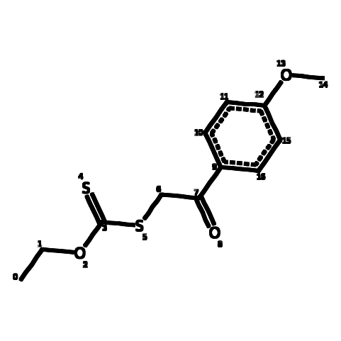 CCOC(=S)SCC(=O)c1ccc(OC)cc1